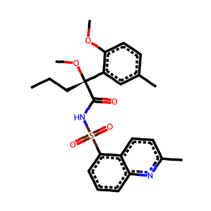 CCC[C@](OC)(C(=O)NS(=O)(=O)c1cccc2nc(C)ccc12)c1cc(C)ccc1OC